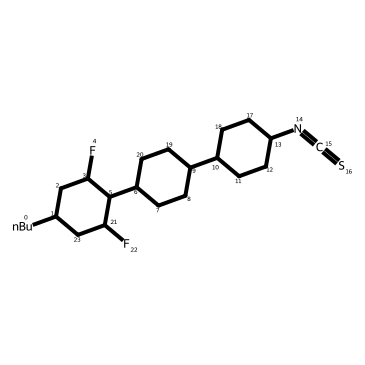 CCCCC1CC(F)C(C2CCC(C3CCC(N=C=S)CC3)CC2)C(F)C1